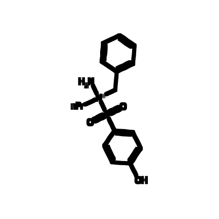 CCC[N+](N)(Cc1ccccc1)S(=O)(=O)c1ccc(O)cc1